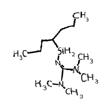 CCCC(CCC)[SiH2]N=C(N(C)C)N(C)C